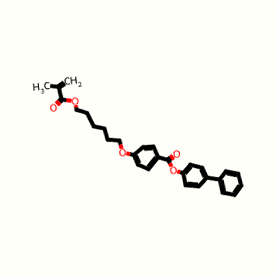 C=C(C)C(=O)OCCCCCCOc1ccc(C(=O)Oc2ccc(-c3ccccc3)cc2)cc1